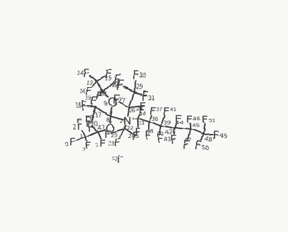 FC(F)(F)C(F)(F)OC(OC(F)(F)C(F)(F)F)(C(F)(F)F)[N+](C(F)(F)F)(C(F)(F)C(F)(F)F)C(F)(F)C(F)(F)C(F)(F)C(F)(F)C(F)(F)C(F)(F)F.[I-]